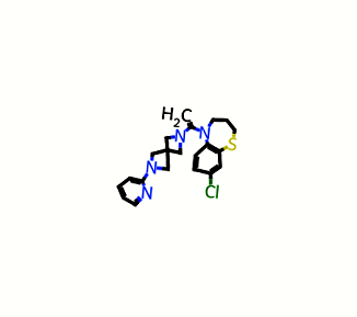 C=C(N1CC2(C1)CN(c1ccccn1)C2)N1CCCSc2cc(Cl)ccc21